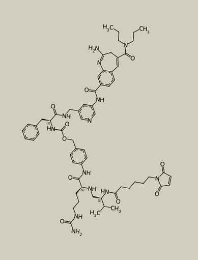 CCCN(CCC)C(=O)C1=Cc2ccc(C(=O)Nc3cncc(CNC(=O)[C@H](Cc4ccccc4)NC(=O)OCc4ccc(NC(=O)[C@H](CCCNC(N)=O)NC[C@@H](NC(=O)CCCCCN5C(=O)C=CC5=O)C(C)C)cc4)c3)cc2N=C(N)C1